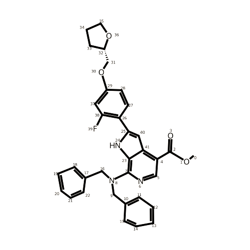 COC(=O)c1cnc(N(Cc2ccccc2)Cc2ccccc2)c2[nH]c(-c3ccc(OC[C@@H]4CCCO4)cc3F)cc12